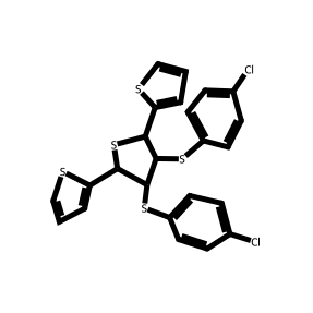 Clc1ccc(SC2C(c3cccs3)SC(c3cccs3)C2Sc2ccc(Cl)cc2)cc1